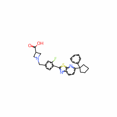 O=C(O)C1CN(Cc2ccc(-c3nc4ccc(C5(c6ccccc6)CCCC5)nc4s3)c(F)c2)C1